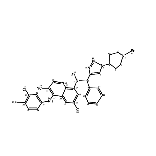 CCN1CCC(n2cc([C@H](c3ccccc3)N(CC)c3cc(Cl)cc4c(Nc5ccc(F)c(Cl)c5)c(C#N)cnc34)nn2)CC1